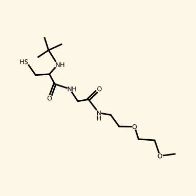 COCCOCCNC(=O)CNC(=O)C(CS)NC(C)(C)C